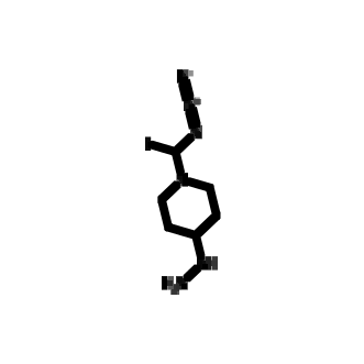 [N-]=[N+]=NC(I)N1CCC(NN)CC1